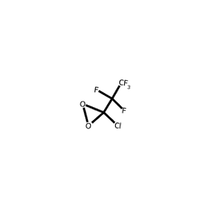 FC(F)(F)C(F)(F)C1(Cl)OO1